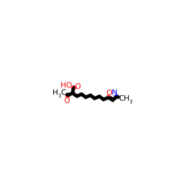 CC(=O)C(CCCCCCCc1cc(C)no1)C(=O)O